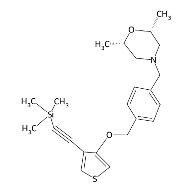 C[C@@H]1CN(Cc2ccc(COc3cscc3C#C[Si](C)(C)C)cc2)C[C@H](C)O1